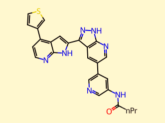 CCCC(=O)Nc1cncc(-c2cnc3[nH]nc(-c4cc5c(-c6ccsc6)ccnc5[nH]4)c3c2)c1